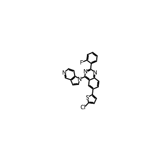 Fc1ccccc1-c1nc(-n2ccc3cnccc32)c2cc(-c3ccc(Cl)s3)ccc2n1